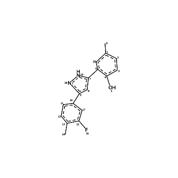 Cc1ccc(O)c(-c2cc(-c3ccc(C)c(F)c3)n[nH]2)c1